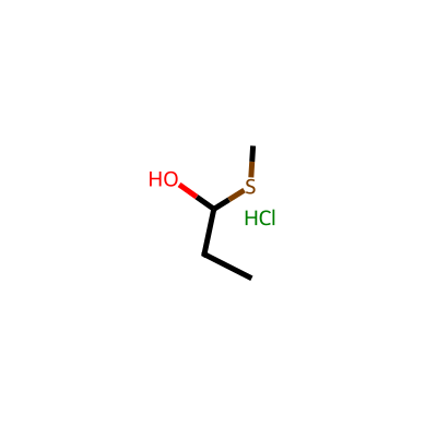 CCC(O)SC.Cl